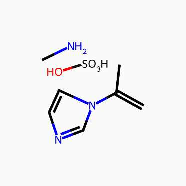 C=C(C)n1ccnc1.CN.O=S(=O)(O)O